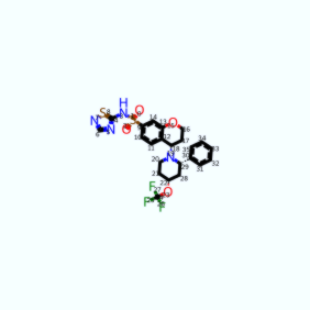 O=S(=O)(Nc1ncns1)c1ccc2c(c1)OCC[C@@H]2N1CC[C@@H](OC(F)(F)F)C[C@H]1c1ccccc1